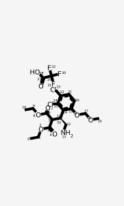 CCOC(=O)C(C(=O)OCC)[C@H](CN)c1c(OCOC)ccc(Cl)c1Cl.O=C(O)C(F)(F)F